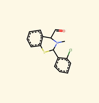 CN1C(C=O)c2ccccc2SC1c1ccccc1Cl